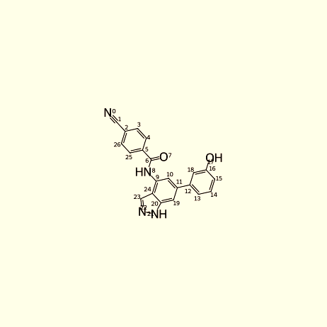 N#Cc1ccc(C(=O)Nc2cc(-c3cccc(O)c3)cc3[nH]ncc23)cc1